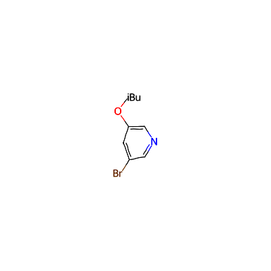 CCC(C)Oc1cncc(Br)c1